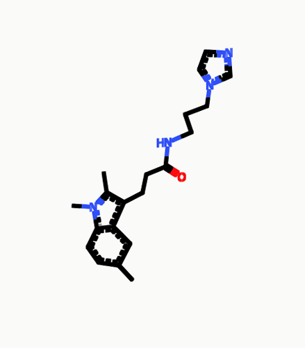 Cc1ccc2c(c1)c(CCC(=O)NCCCn1ccnc1)c(C)n2C